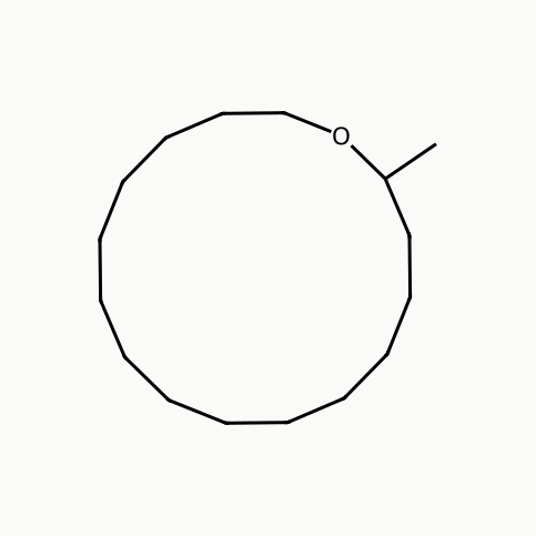 CC1CCCCCCCCCCCCCCO1